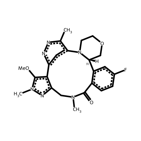 COc1c2c(nn1C)CN(C)C(=O)c1ccc(F)cc1[C@H]1COCCN1c1cc-2nnc1C